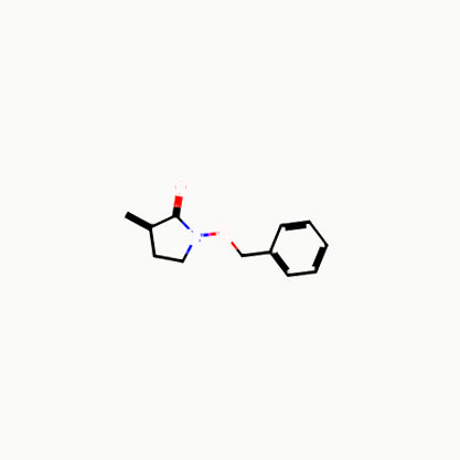 C=C1CCN(OCc2ccccc2)C1=O